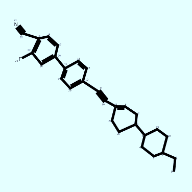 CCC1CCC(C2CC=C(C#Cc3ccc(-c4ccc(C#N)c(F)c4)cc3)CC2)CC1